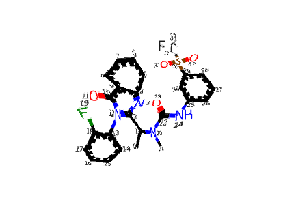 CC(c1nc2ccccc2c(=O)n1-c1ccccc1F)N(C)C(=O)Nc1cccc(S(=O)(=O)C(F)(F)F)c1